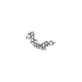 CN1CCN(c2ncc3cc(C(=O)Nc4cc(C(=O)NC(CN)Cc5cccc(F)c5)ccc4Cl)c(=O)[nH]c3n2)CC1